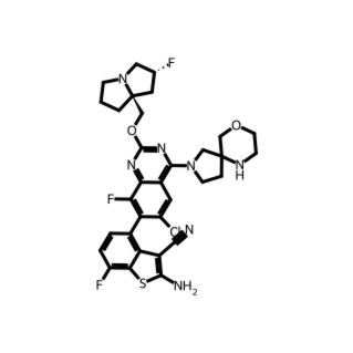 N#Cc1c(N)sc2c(F)ccc(-c3c(Cl)cc4c(N5CCC6(COCCN6)C5)nc(OC[C@@]56CCCN5C[C@H](F)C6)nc4c3F)c12